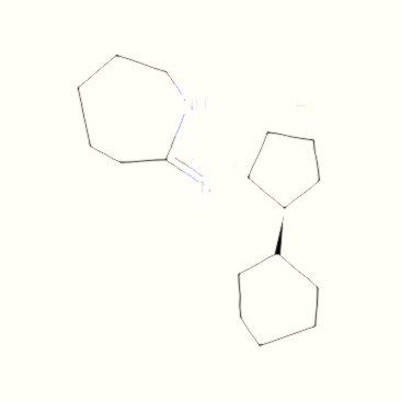 C1CCNC(=N[C@@H]2CCC[C@H]2C2CCCCC2)CC1.Cl